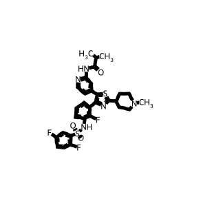 CC(C)C(=O)Nc1cc(-c2sc(C3CCN(C)CC3)nc2-c2cccc(NS(=O)(=O)c3cc(F)ccc3F)c2F)ccn1